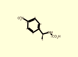 C[C@H](NC(=O)O)c1ccc([N+](=O)[O-])cc1